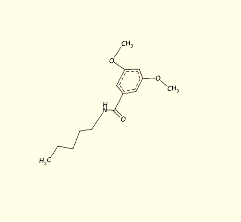 CCCCCNC(=O)c1cc(OC)cc(OC)c1